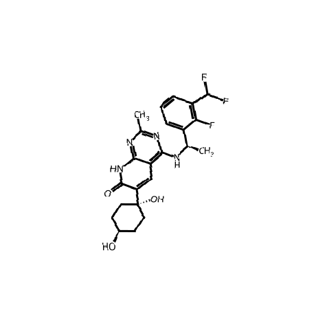 Cc1nc(N[C@H](C)c2cccc(C(F)F)c2F)c2cc([C@]3(O)CC[C@H](O)CC3)c(=O)[nH]c2n1